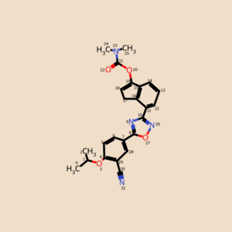 CC(C)Oc1ccc(-c2nc(-c3cccc4c3CC=C4OC(=O)N(C)C)no2)cc1C#N